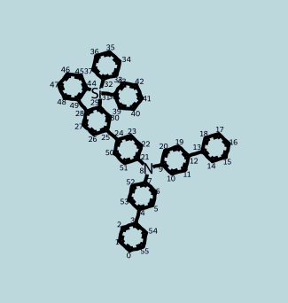 c1ccc(-c2ccc(N(c3ccc(-c4ccccc4)cc3)c3ccc(-c4ccc5c(c4)[Si](c4ccccc4)(c4ccccc4)c4ccccc4-5)cc3)cc2)cc1